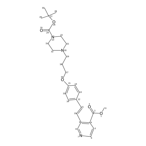 COC(=O)c1ccncc1/C=C/c1ccc(OCCCN2CCN(C(=O)OC(C)(C)C)CC2)cc1